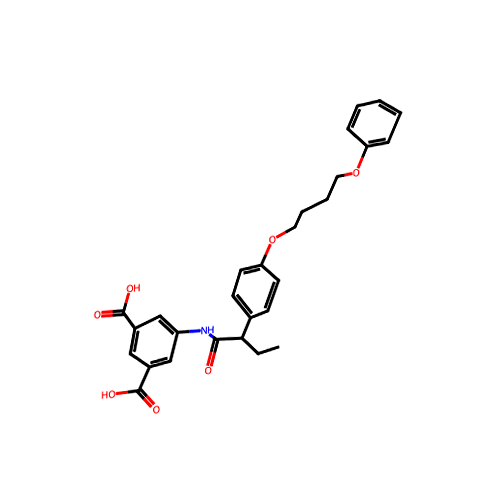 CCC(C(=O)Nc1cc(C(=O)O)cc(C(=O)O)c1)c1ccc(OCCCCOc2ccccc2)cc1